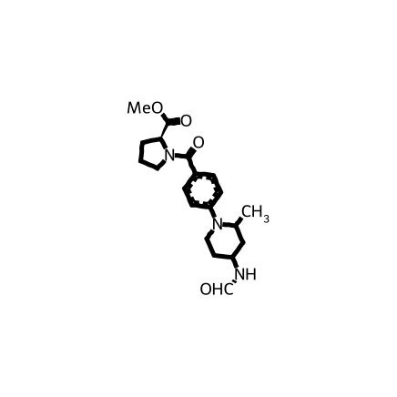 COC(=O)[C@@H]1CCCN1C(=O)c1ccc(N2CCC(NC=O)CC2C)cc1